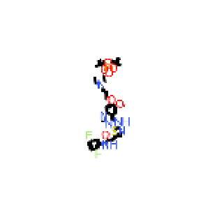 CCN(CCCOc1cc2ncnc(Nc3ncc(CC(=O)Nc4cc(F)ccc4F)s3)c2cc1OC)CCOP(=O)(OC(C)(C)C)OC(C)(C)C